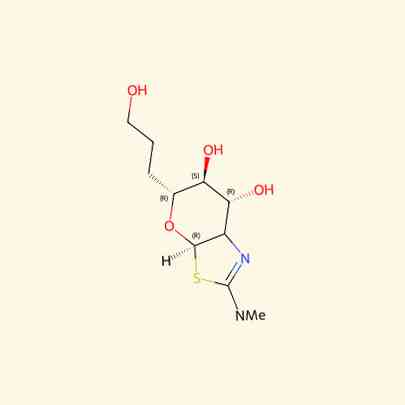 CNC1=NC2[C@H](O[C@H](CCCO)[C@@H](O)[C@@H]2O)S1